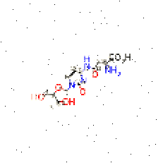 C[C@@H](O)C(CO)OCn1ccc(NC(=O)CC(N)C(=O)O)nc1=O